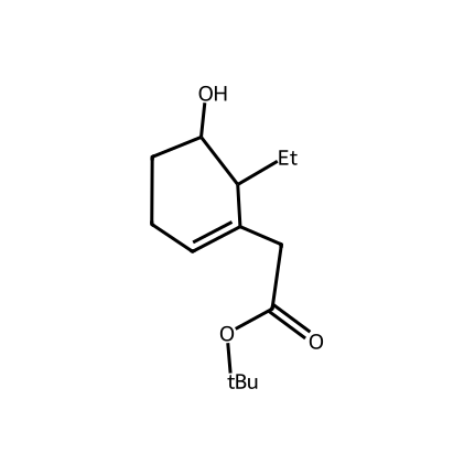 CCC1C(CC(=O)OC(C)(C)C)=CCCC1O